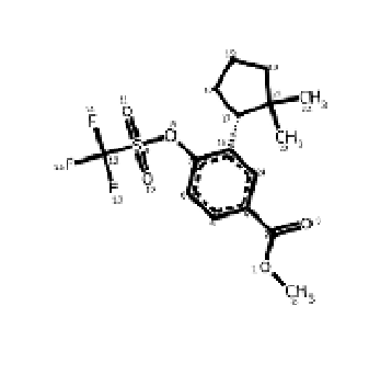 COC(=O)c1ccc(OS(=O)(=O)C(F)(F)F)c([C@@H]2CCCC2(C)C)c1